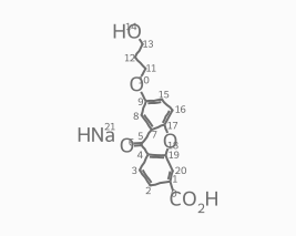 O=C(O)c1ccc2c(=O)c3cc(OCCCO)ccc3oc2c1.[NaH]